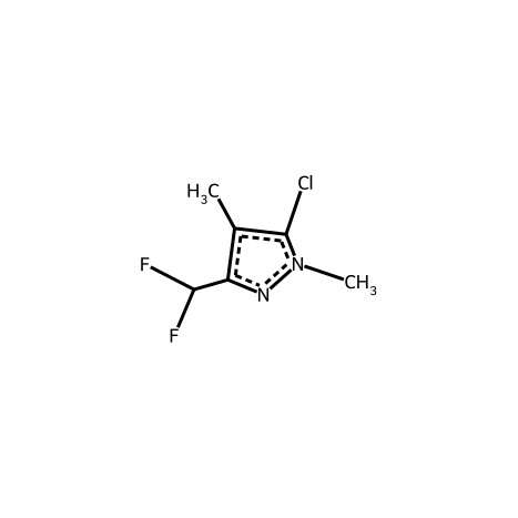 Cc1c(C(F)F)nn(C)c1Cl